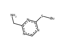 CCC(C)Sc1ncnc(CN)n1